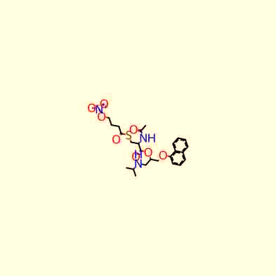 CC(=O)NC(CSC(=O)CCCO[N+](=O)[O-])C(=O)OC(CNC(C)C)COc1cccc2ccccc12